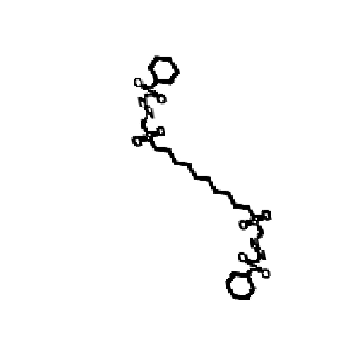 O=S(=O)(CCCCCCCCCCS(=O)(=O)CN=NS(=O)(=O)C1CCCCC1)CN=NS(=O)(=O)C1CCCCC1